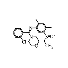 Cc1cc(C)c([S+]([O-])CC(F)(F)F)cc1/N=C(/c1ccccc1Cl)N1CCOCC1